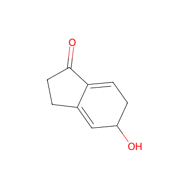 O=C1CCC2=CC(O)CC=C12